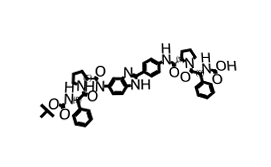 CC(C)(C)OC(=O)N[C@H](C(=O)N1CCC[C@H]1C(=O)Nc1ccc2[nH]c(-c3ccc(NC(=O)[C@@H]4CCCN4C(=O)[C@@H](NC(=O)O)c4ccccc4)cc3)nc2c1)c1ccccc1